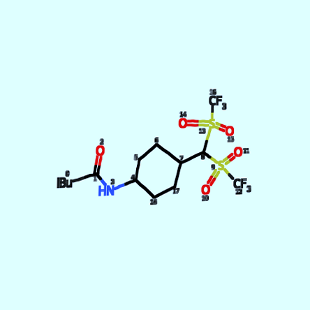 CCC(C)C(=O)NC1CCC(C(S(=O)(=O)C(F)(F)F)S(=O)(=O)C(F)(F)F)CC1